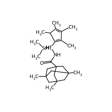 CC1=C(C)C(C)[C]([Hf]([NH]C(=O)C23CC4(C)CC(C)(CC(C)(C4)C2)C3)[SiH](C)C)=C1C